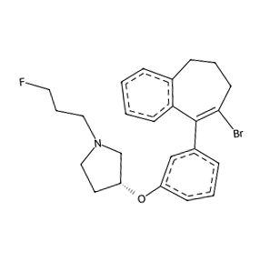 FCCCN1CC[C@@H](Oc2cccc(C3=C(Br)CCCc4ccccc43)c2)C1